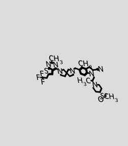 Cc1nc(N2CCC3(CCN(Cc4ccc5c(c4C)CC(C#N)N5CC(C)N4CCC([S+](C)[O-])CC4)C3)C2)c2cc(CC(F)(F)F)sc2n1